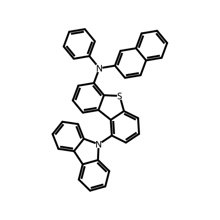 c1ccc(N(c2ccc3ccccc3c2)c2cccc3c2sc2cccc(-n4c5ccccc5c5ccccc54)c23)cc1